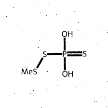 CSSP(O)(O)=S